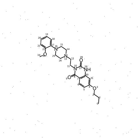 CCCOc1ccc2c(=O)n(CCN3CCN(c4ccccc4OC)CC3)c(=O)[nH]c2c1